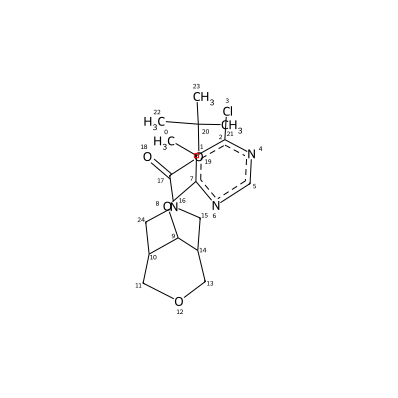 Cc1c(Cl)ncnc1OC1C2COCC1CN(C(=O)OC(C)(C)C)C2